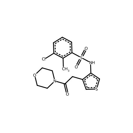 Cc1c(Cl)cccc1S(=O)(=O)Nc1cscc1CC(=O)N1CCOCC1